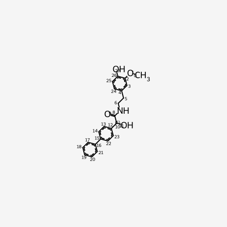 COc1cc(CCNC(=O)[C@@H](O)c2ccc(-c3ccccc3)cc2)ccc1O